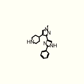 Cn1cc(C2CCNCC2)c(-c2c[nH]c(-c3ccccc3)n2)n1